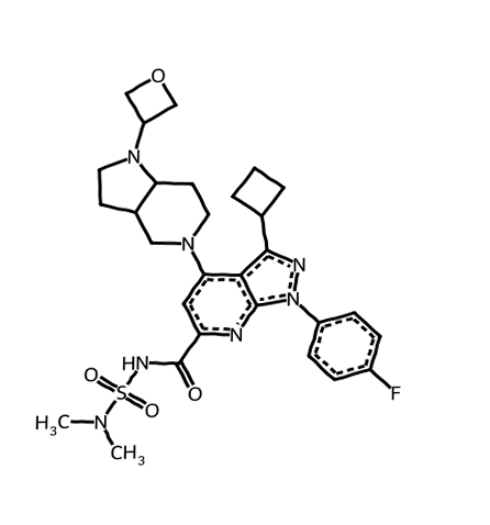 CN(C)S(=O)(=O)NC(=O)c1cc(N2CCC3C(CCN3C3COC3)C2)c2c(C3CCC3)nn(-c3ccc(F)cc3)c2n1